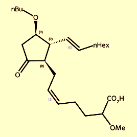 CCCCCC/C=C/[C@H]1[C@H](OCCCC)CC(=O)[C@@H]1C/C=C\CCC(OC)C(=O)O